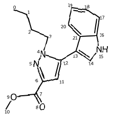 CCCCn1nc(C(=O)OC)cc1-c1c[nH]c2ccccc12